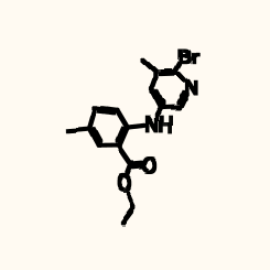 CCOC(=O)c1cc(C)ccc1Nc1cnc(Br)c(C)c1